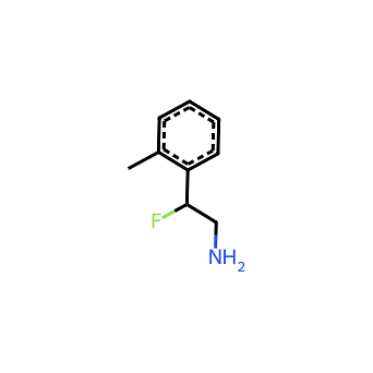 Cc1ccccc1C(F)CN